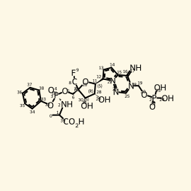 CC(N[P@](=O)(OC[C@@]1(CF)O[C@@H](c2ccc3c(=N)n(COP(=O)(O)O)cnn23)[C@H](O)[C@@H]1O)Oc1ccccc1)C(=O)O